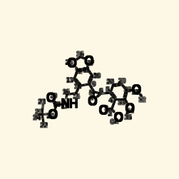 COC(=O)c1c(C2OC2c2cc3c(cc2CCNC(=O)OC(C)(C)C)OCO3)ccc(OC)c1OC